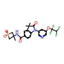 CC1(NC(=O)c2ccc3c(c2)C(C)(C)C(=O)N3c2cncc(OC(F)(F)C(F)F)c2)CS(=O)(=O)C1